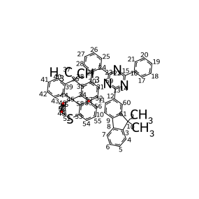 CC1(C)c2ccccc2-c2ccc(-c3nc(-c4ccccc4)nc(-c4ccccc4-c4cccc5c4C(C)(C)c4ccccc4C54c5ccccc5Sc5ccccc54)n3)cc21